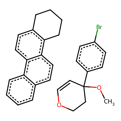 COC1(c2ccc(Br)cc2)C=COCC1.c1ccc2c(c1)ccc1c3c(ccc12)CCCC3